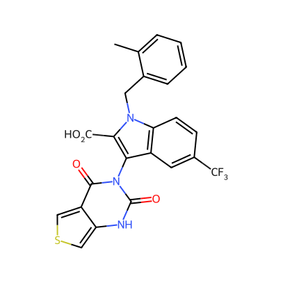 Cc1ccccc1Cn1c(C(=O)O)c(-n2c(=O)[nH]c3cscc3c2=O)c2cc(C(F)(F)F)ccc21